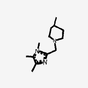 Cc1nc(CN2CCC(C)CC2)n(C)c1C